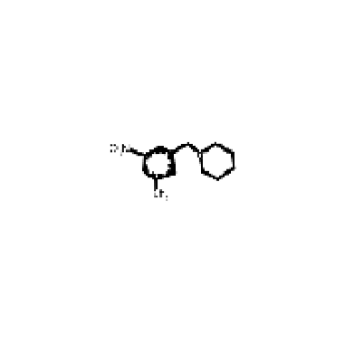 O=[N+]([O-])c1cc(CN2CCCCC2)cc(C(F)(F)F)c1